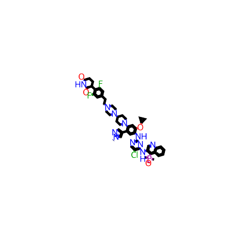 Cn1cc(-c2cc(Nc3ncc(Cl)c(Nc4cnc5ccccc5c4P(C)(C)=O)n3)c(OC3CC3)cc2N2CCC(N3CCN(CCc4cc(F)c(C5CCC(=O)NC5=O)c(F)c4)CC3)CC2)cn1